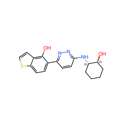 Oc1c(-c2ccc(N[C@H]3CCCC[C@@H]3O)nn2)ccc2sccc12